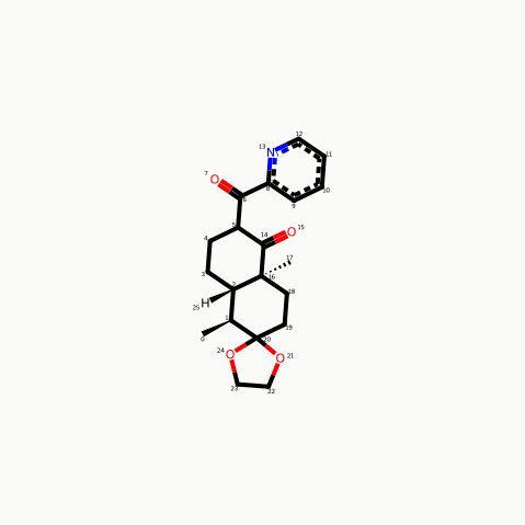 C[C@H]1[C@@H]2CCC(C(=O)c3ccccn3)C(=O)[C@@]2(C)CCC12OCCO2